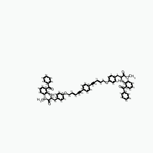 COC(=O)C(Cc1ccc(OCC=CC#Cc2ccc(C#CC=CCOc3ccc(CC(Nc4ccccc4C(=O)c4ccccc4)C(=O)OC)cc3)cc2)cc1)Nc1ccccc1C(=O)c1ccccc1